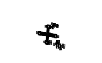 O=S(=O)(O)O.[AlH3].[Fe].[H-]